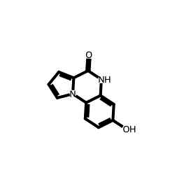 O=c1[nH]c2cc(O)ccc2n2cccc12